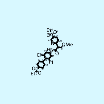 CCS(=O)(=O)c1ccc(-c2c(Cl)cc(NC(=O)C(COC)c3ccc(S(=O)(=O)CC)cn3)cc2Cl)cc1